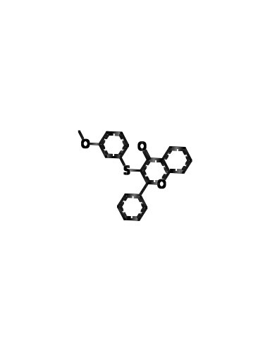 COc1cccc(Sc2c(-c3ccccc3)oc3ccccc3c2=O)c1